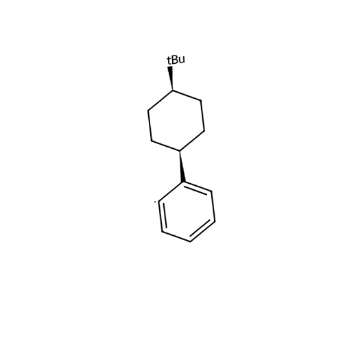 CC(C)(C)[C@H]1CC[C@@H](c2[c]cccc2)CC1